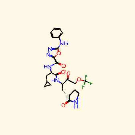 O=C(NC(CC1CC1)C(=O)NC(C[C@@H]1CCNC1=O)C(=O)COC(F)(F)F)c1nnc(Nc2ccccc2)o1